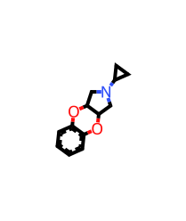 c1ccc2c(c1)OC1CN(C3CC3)CC1O2